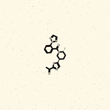 CC(=O)c1ncc([C@@H]2CC[C@@H](C)N(C(=O)c3ccccc3-n3nccn3)C2)s1